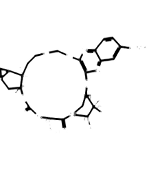 CC[C@]1(F)[C@@H]2CN(C(=O)[C@H](C(C)(C)C)NC(=O)O[C@@H]3CC4CC4[C@H]3CCCCCc3nc4ccc(OC)cc4nc3O2)[C@@H]1C(C)=O